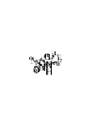 C=Cn1cc2c(nc1=O)Nc1ccccc1O2